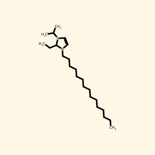 CCCCCCCCCCCCCCCN1C=CN(C(C)C)C1CC